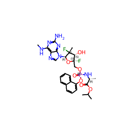 CNc1nc(N)nc2c1ncn2[C@@H]1O[C@](F)(CO[P@](=O)(N[C@H](C)C(=O)OC(C)C)Oc2cccc3ccccc23)[C@@H](O)[C@@]1(C)F